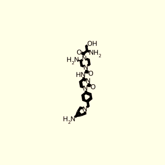 NC(CO)C(=O)N1CCN(C(=O)Nc2ccn(-c3ccc(CN4CC5C(N)C5C4)cc3)c(=O)n2)C[C@H]1N